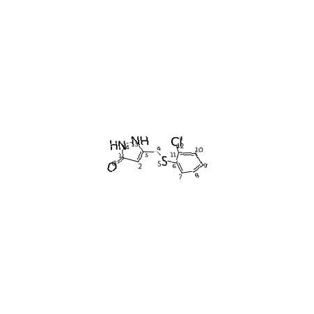 O=c1cc(CSc2ccccc2Cl)[nH][nH]1